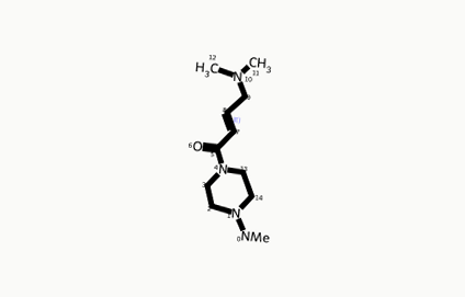 CNN1CCN(C(=O)/C=C/CN(C)C)CC1